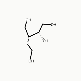 OCC[C@H](CO)[C@@H](O)CO